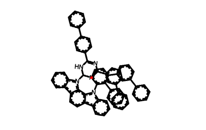 c1ccc(-c2ccc(C3=NC(c4cccc(-c5ccccc5)c4)=NC(n4c5ccccc5c5ccc6c7ccccc7n(-c7cccc(-c8cccc(-c9ccccc9)c8)c7-c7ccccc7)c6c54)N3)cc2)cc1